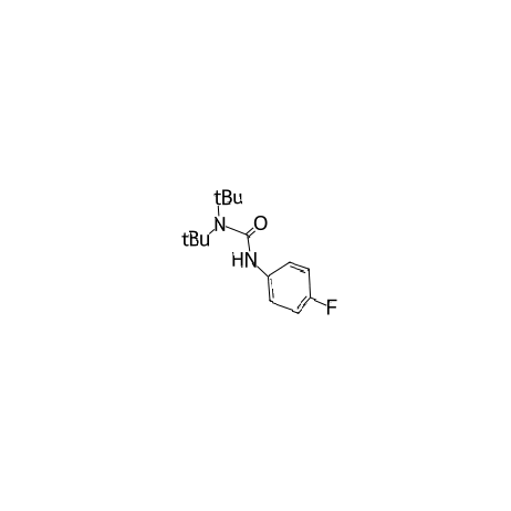 CC(C)(C)N(C(=O)Nc1ccc(F)cc1)C(C)(C)C